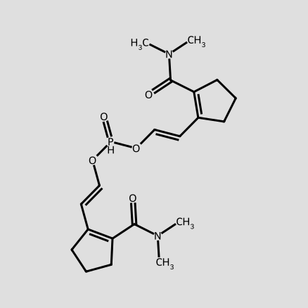 CN(C)C(=O)C1=C(C=CO[PH](=O)OC=CC2=C(C(=O)N(C)C)CCC2)CCC1